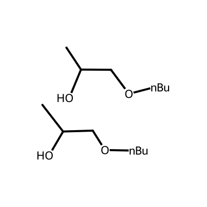 CCCCOCC(C)O.CCCCOCC(C)O